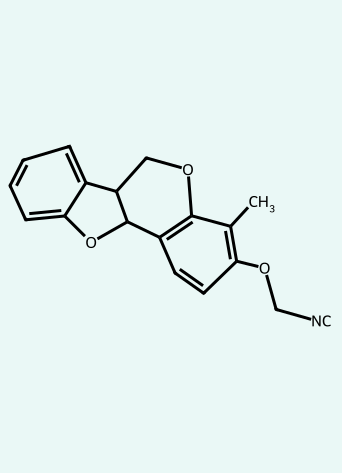 [C-]#[N+]COc1ccc2c(c1C)OCC1c3ccccc3OC21